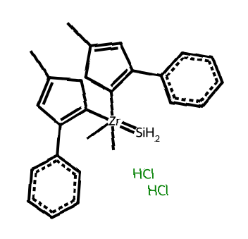 CC1=CC(c2ccccc2)=[C]([Zr]([CH3])([CH3])(=[SiH2])[C]2=C(c3ccccc3)C=C(C)C2)C1.Cl.Cl